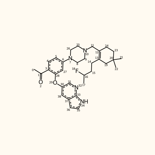 CC(=O)c1ccc(N2CCN(CC3=C(CCC(C)F)CC(C)(C)CC3)CC2)cc1Oc1cnc2[nH]ccc2c1